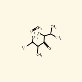 C=O.CC(C)C(C)C(=O)C(C)C(C)C